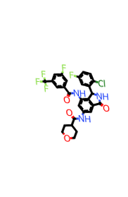 O=C(Nc1cc(NC(=O)C2CCOCC2)cc2c1C(c1cc(F)ccc1Cl)NC2=O)c1cc(F)cc(C(F)(F)F)c1